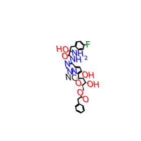 N#C[C@@]1(c2ccc3c(NC(=O)C(N)(O)Cc4ccc(F)cc4)ncnn23)O[C@H](COC(=O)Cc2ccccc2)[C@@H](O)[C@H]1O